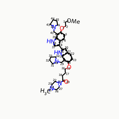 COCCOc1ccc2c(-c3[c]c4ccc(OCCCC(=O)N5CCN(C)CC5)c(CN5CCCC5)c4[nH]3)c[nH]c2c1CN1CCCC1